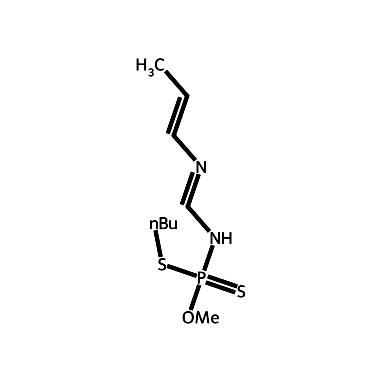 CC=CN=CNP(=S)(OC)SCCCC